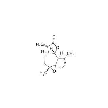 C=C1C(=O)O[C@@H]2[C@H]3C(C)=CC[C@@]34O[C@]4(C)CC[C@@H]12